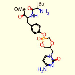 CCC(C)[C@H](N)C(=O)N[C@@H](Cc1ccc(OP2(=O)CO[C@@H](Cn3ccc(N)nc3=O)CO2)cc1)C(=O)OC